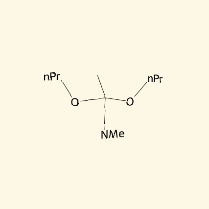 [CH2]NC(C)(OCCC)OCCC